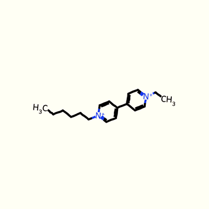 CCCCCC[n+]1ccc(-c2cc[n+](CC)cc2)cc1